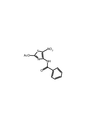 CC(=O)Oc1nc(NC(=O)c2ccccc2)c([N+](=O)[O-])s1